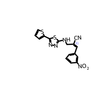 N#C/C(=C/c1cccc([N+](=O)[O-])c1)CNc1nnc(-c2cccs2)s1